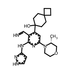 C[C@@H]1COCCN1c1cc(C2(O)CCC3(CCC3)CC2)c(C=N)c(Nc2cc[nH]n2)n1